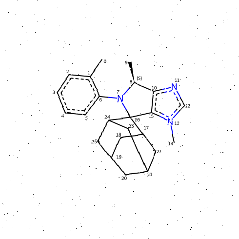 Cc1ccccc1N1[C@@H](C)c2ncn(C)c2C12C1CC3CC(C1)CC2C3